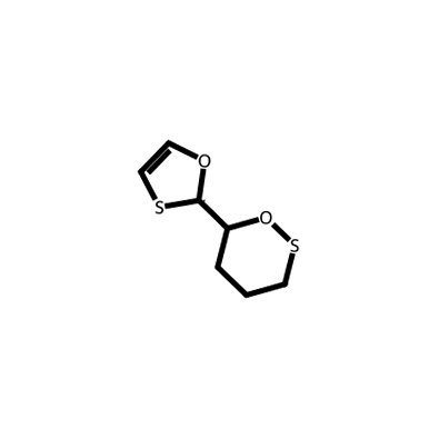 C1=CS[C](C2CCCSO2)O1